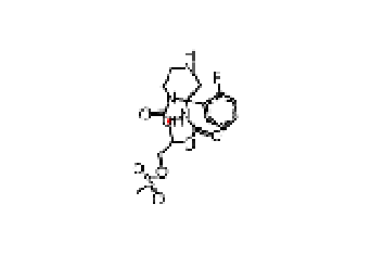 CS(=O)(=O)OCC1CN(C2(c3ccccc3F)CNCCN2C(=O)O)C(=O)O1